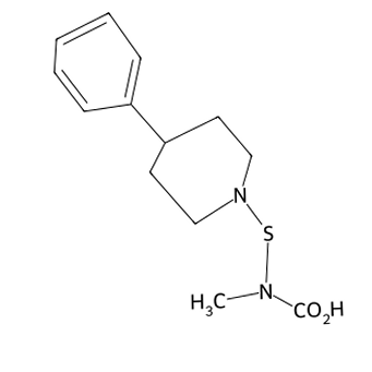 CN(SN1CCC(c2ccccc2)CC1)C(=O)O